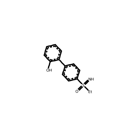 CCS(=N)(=O)c1ccc(-c2ccccc2O)cc1